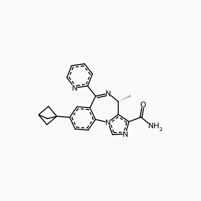 C[C@H]1N=C(c2ccccn2)c2cc(C34CC(C3)C4)ccc2-n2cnc(C(N)=O)c21